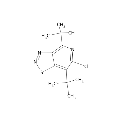 CC(C)(C)c1nc(Cl)c(C(C)(C)C)c2snnc12